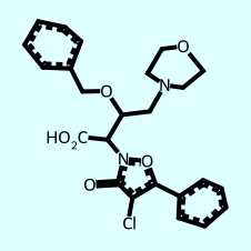 O=C(O)C(C(CN1CCOCC1)OCc1ccccc1)n1oc(-c2ccccc2)c(Cl)c1=O